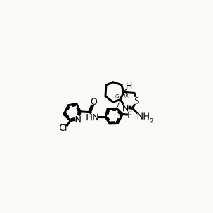 NC1=N[C@@]2(c3cc(NC(=O)c4cccc(Cl)n4)ccc3F)CCCCC[C@H]2CS1